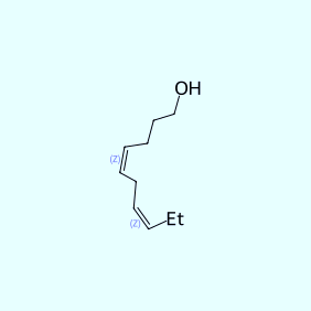 CC/C=C\C/C=C\CCCO